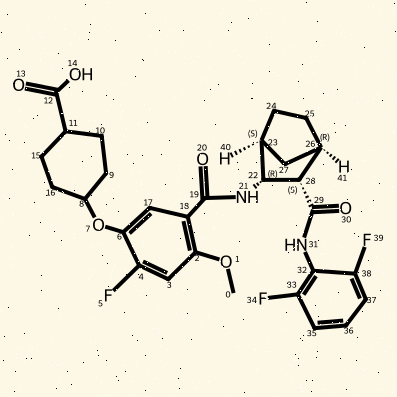 COc1cc(F)c(OC2CCC(C(=O)O)CC2)cc1C(=O)N[C@@H]1[C@H]2CC[C@H](C2)[C@@H]1C(=O)Nc1c(F)cccc1F